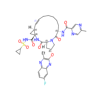 CCc1nc2ccc(F)cc2nc1O[C@@H]1C[C@H]2C(=O)N[C@]3(C(=O)NS(=O)(=O)C4CC4)C[C@H]3/C=C\CCCCC[C@H](NC(=O)c3cnc(C)cn3)C(=O)N2C1